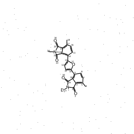 CCN1C(=O)c2c(C)ccc(-c3ccc(-c4ccc(C)c5c4C(=O)N(C)C5=O)o3)c2C1=O